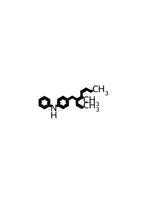 C\C=C/C(Cc1ccc(Nc2ccccc2)cc1)=C(C)/C=C\CC